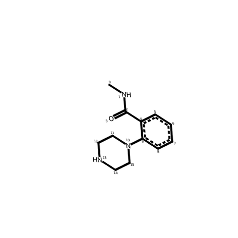 CNC(=O)c1ccccc1N1CCNCC1